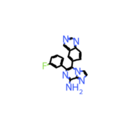 Nc1nc(-c2cccc(F)c2)c(-c2ccc3ncncc3c2)n2ccnc12